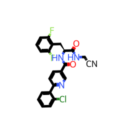 N#CCNC(=O)[C@H](Cc1c(F)cccc1F)NC(=O)c1ccc(-c2ccccc2Cl)nc1